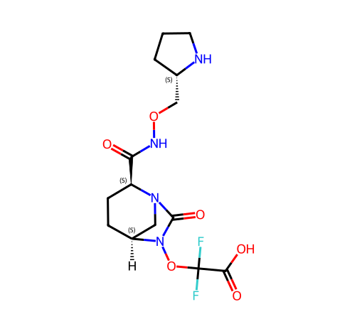 O=C(NOC[C@@H]1CCCN1)[C@@H]1CC[C@H]2CN1C(=O)N2OC(F)(F)C(=O)O